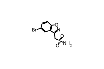 NS(=O)(=O)Cc1noc2ccc(Br)cc12